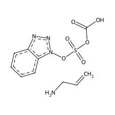 C=CCN.O=C(O)OS(=O)(=O)On1nnc2ccccc21